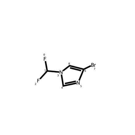 FC(F)n1cnc(Br)c1